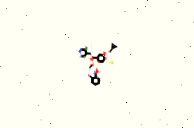 O=C(CN1C(=O)c2ccccc2C1=O)O[C@@H](Cc1c(Cl)cncc1Cl)c1ccc(OC(F)F)c(OCC2CC2)c1